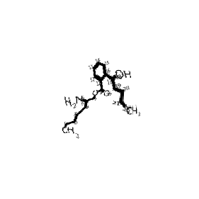 CCCCCC(N)COC(=O)c1ccccc1C(O)CCCC